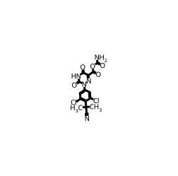 CC(C)(C#N)c1c(Cl)cc(-n2nc(C(=O)OC(N)=O)c(=O)[nH]c2=O)cc1Cl